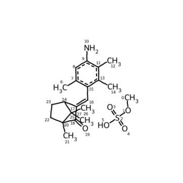 COS(=O)(=O)O.Cc1cc(N)c(C)c(C)c1C=C1C(=O)C2(C)CCC1C2(C)C